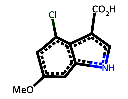 COc1cc(Cl)c2c(C(=O)O)c[nH]c2c1